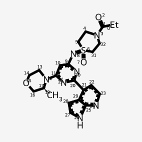 CCC(=O)N1CCS(=O)(=Nc2cc(N3CCOC[C@H]3C)nc(-c3ccnc4[nH]ccc34)n2)CC1